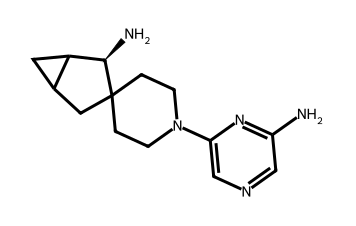 Nc1cncc(N2CCC3(CC2)CC2CC2[C@H]3N)n1